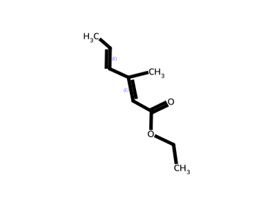 C/C=C/C(C)=C/C(=O)OCC